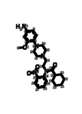 COc1cc(N)ccc1N1CCN(CCN(C(=O)C2CCCCC2)c2ccccc2[N+](=O)[O-])CC1